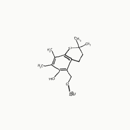 Cc1c(C)c2c(c(COC(C)(C)C)c1O)CCC(C)(C)O2